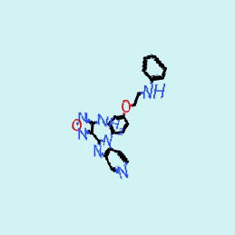 Nc1nonc1-c1nc2cnccc2n1-c1ccc(OCCNc2ccccc2)cc1